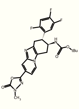 Cn1nc(-c2ccn3c4c(nc3c2)C[C@H](c2cc(F)c(F)cc2F)[C@@H](NC(=O)OC(C)(C)C)C4)oc1=O